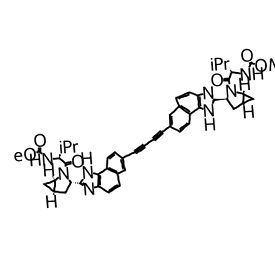 COC(=O)N[C@H](C(=O)N1[C@@H]2C[C@@H]2C[C@H]1c1nc2ccc3cc(C#CC#Cc4ccc5c(ccc6nc([C@@H]7C[C@H]8C[C@H]8N7C(=O)[C@@H](NC(=O)OC)C(C)C)[nH]c65)c4)ccc3c2[nH]1)C(C)C